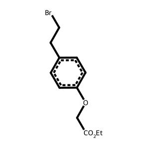 CCOC(=O)COc1ccc(CCBr)cc1